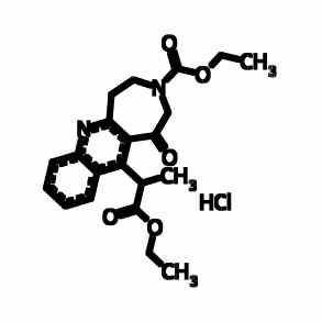 CCOC(=O)C(C)c1c2c(nc3ccccc13)CCN(C(=O)OCC)CC2=O.Cl